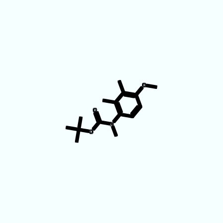 COc1ccc(N(C)C(=O)OC(C)(C)C)c(C)c1C